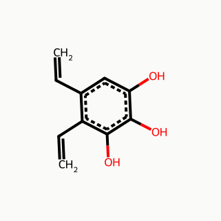 C=Cc1cc(O)c(O)c(O)c1C=C